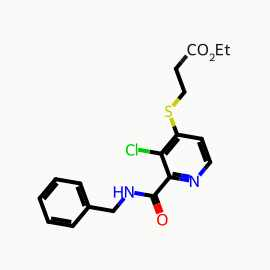 CCOC(=O)CCSc1ccnc(C(=O)NCc2ccccc2)c1Cl